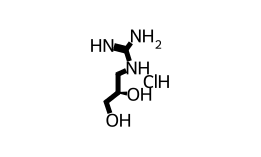 Cl.N=C(N)NC[C@@H](O)CO